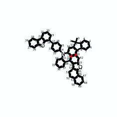 CC1(C)c2ccccc2-c2ccc(N(c3ccc(-c4cccc5c4oc4ccccc45)cc3)c3ccccc3-c3cccc4oc5c6ccccc6ccc5c34)cc21